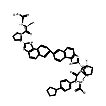 CCC(=O)N[C@@H](C(=O)N1[C@@H]2CC[C@@H](C2)[C@H]1c1nc2ccc3cc(-c4ccc5c(ccc6nc([C@@H]7CCCN7C(=O)[C@@H](NC(=O)OC)C(C)C)[nH]c65)c4)ccc3c2[nH]1)c1ccc(C2CCCC2)cc1